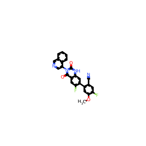 COc1cc(-c2cc3[nH]c(=O)n(-c4cncc5ccccc45)c(=O)c3cc2F)c(C#N)cc1F